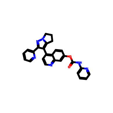 O=C(Nc1ccccn1)Oc1ccc2c(-c3c(-c4ccccn4)nn4c3CCC4)ccnc2c1